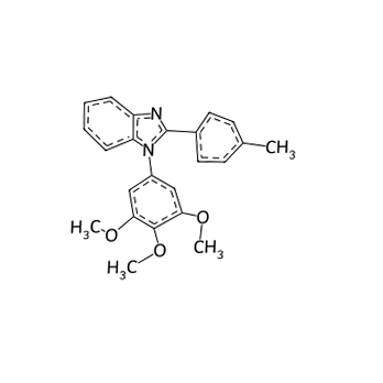 COc1cc(-n2c(-c3ccc(C)cc3)nc3ccccc32)cc(OC)c1OC